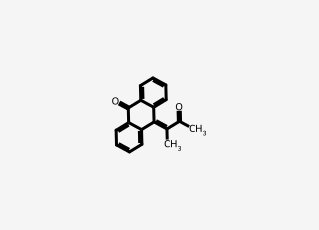 CC(=O)C(C)=C1c2ccccc2C(=O)c2ccccc21